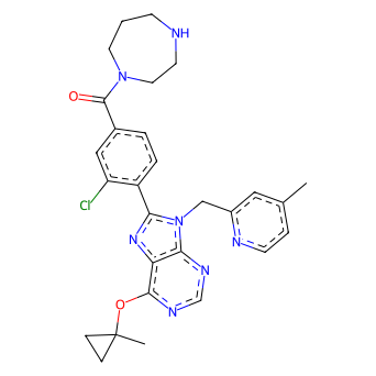 Cc1ccnc(Cn2c(-c3ccc(C(=O)N4CCCNCC4)cc3Cl)nc3c(OC4(C)CC4)ncnc32)c1